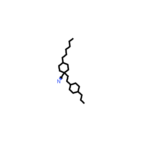 CCCCCCC1CCC(C#N)(CCC2CCC(CCC)CC2)CC1